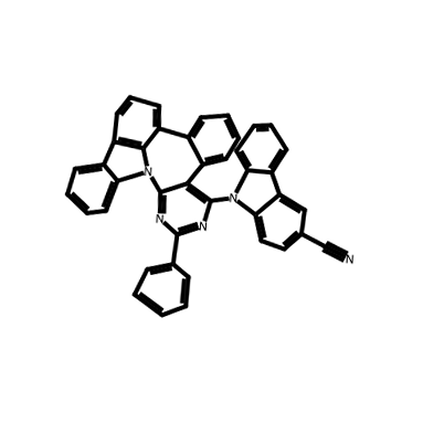 N#Cc1ccc2c(c1)c1ccccc1n2-c1nc(-c2ccccc2)nc2c1-c1ccccc1-c1cccc3c4ccccc4n-2c13